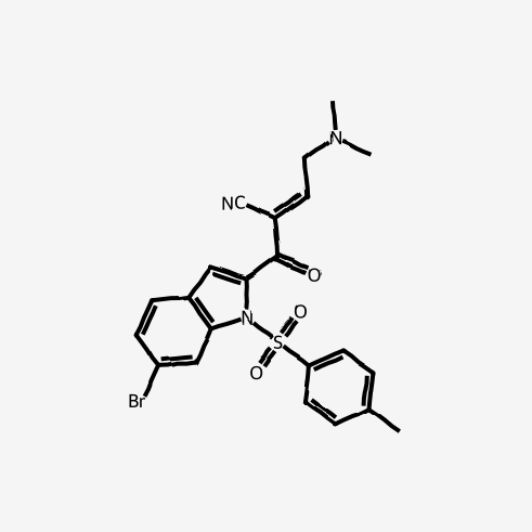 Cc1ccc(S(=O)(=O)n2c(C(=O)C(C#N)=CCN(C)C)cc3ccc(Br)cc32)cc1